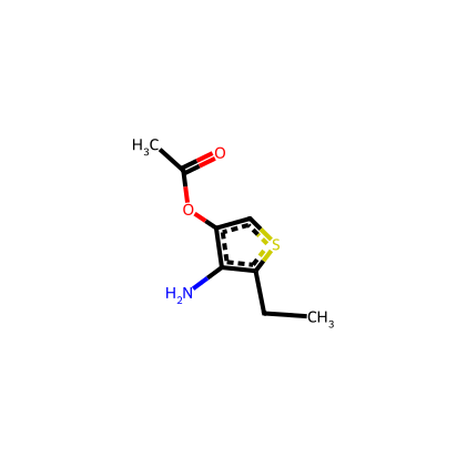 CCc1scc(OC(C)=O)c1N